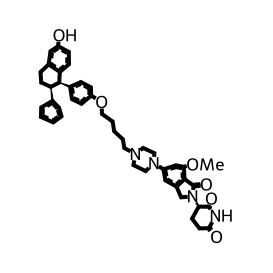 COc1cc(N2CCN(CCCCCOc3ccc([C@@H]4c5ccc(O)cc5CC[C@@H]4c4ccccc4)cc3)CC2)cc2c1C(=O)N([C@@H]1CCC(=O)NC1=O)C2